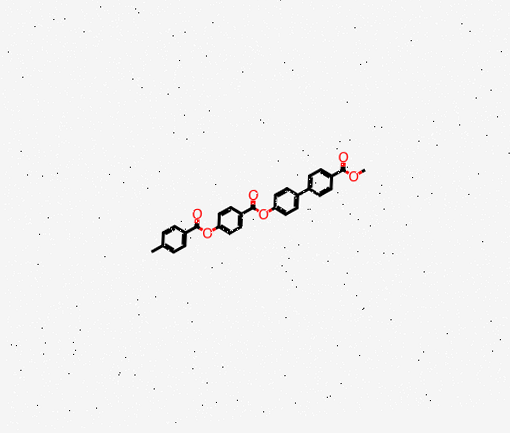 COC(=O)c1ccc(-c2ccc(OC(=O)c3ccc(OC(=O)c4ccc(C)cc4)cc3)cc2)cc1